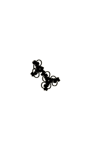 C=C(C)C(=O)Oc1cc(OC(=O)C(=C)C)cc(OC(=O)/C(C)=C/c2ccc(OC(=O)C(=C)C)c(OC(=O)C(=C)C)c2)c1